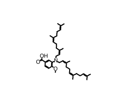 COc1ccc(C(=O)O)cc1N(CC=C(C)CCC=C(C)CCC=C(C)C)CC=C(C)CCC=C(C)CCC=C(C)C